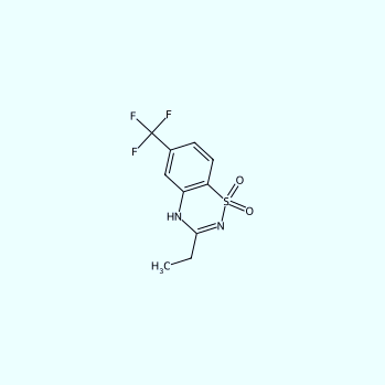 CCC1=NS(=O)(=O)c2ccc(C(F)(F)F)cc2N1